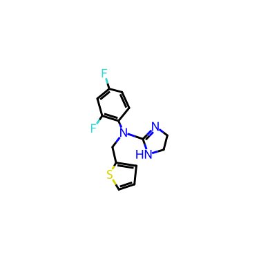 Fc1ccc(N(Cc2cccs2)C2=NCCN2)c(F)c1